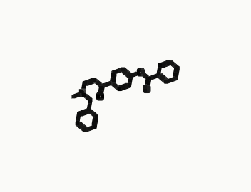 CN(/C=C\C(=O)c1ccc(OC(=O)c2ccccc2)cc1)Cc1ccccc1